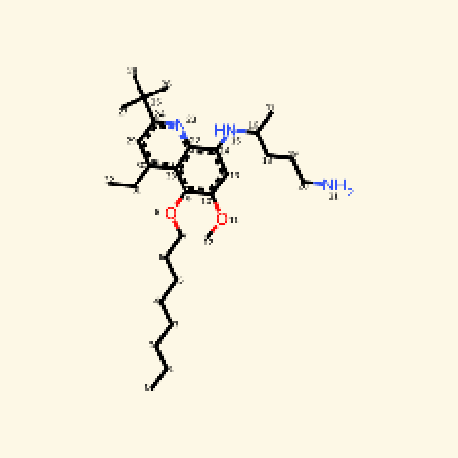 CCCCCCCCOc1c(OC)cc(NC(C)CCCN)c2nc(C(C)(C)C)cc(CC)c12